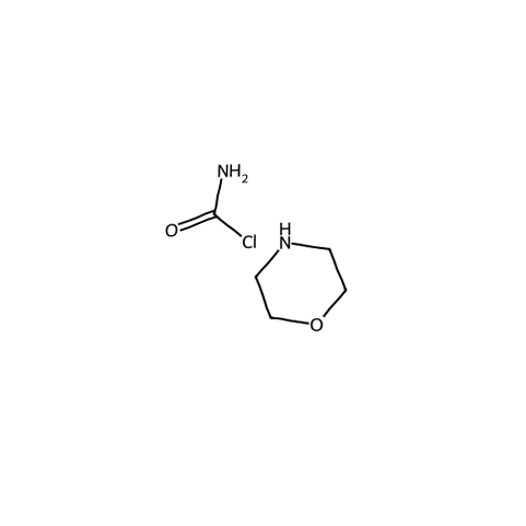 C1COCCN1.NC(=O)Cl